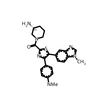 CNc1ccc(-c2nc(C(=O)N3CCC[C@@H](N)C3)sc2-c2ccc3c(c2)ncn3C)cc1